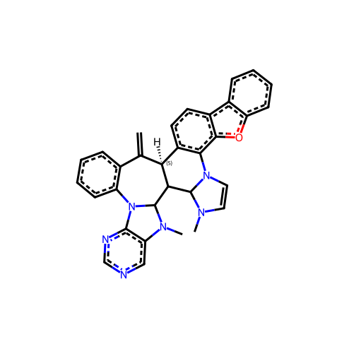 C=C1c2ccccc2N2c3ncncc3N(C)C2C2C3N(C)C=CN3c3c(ccc4c3oc3ccccc34)[C@H]12